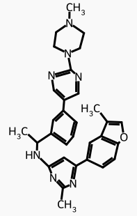 Cc1nc(NC(C)c2cccc(-c3cnc(N4CCN(C)CC4)nc3)c2)cc(-c2ccc3occ(C)c3c2)n1